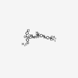 COc1ccc2c(c1)c(CC(=O)NCCNS(=O)(=O)c1ccc(N=Nc3ccc(N(C)C)cc3)cc1)c(C)n2C(=O)c1ccc(Cl)cc1